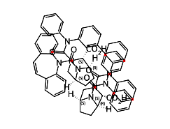 O=C(O)[C@@H]1[C@H]2CC[C@@H](CN1C(=O)N(C1=CC=CCC1)c1ccccc1)N2C(=O)N(c1ccccc1)c1cccc(-c2cccc(N(C(=O)N3C[C@@H]4CC[C@H]([C@H]3C(=O)O)N4C(=O)N3c4ccccc4C=Cc4ccccc43)c3ccccc3)c2)c1